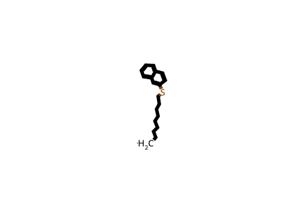 [CH2]CCCCCCCCSc1ccc2ccccc2c1